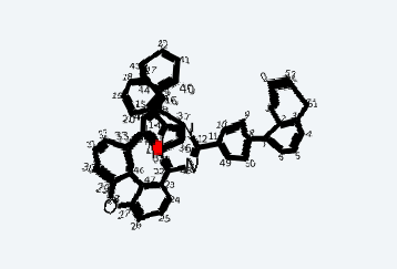 C1=Cc2c(cccc2-c2ccc(-c3nc(-c4ccccc4)nc(-c4cccc5oc6cccc(-c7cccc(-c8ccccc8)c7)c6c45)n3)cc2)CC1